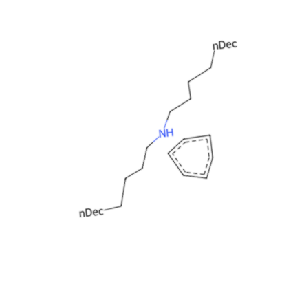 CCCCCCCCCCCCCCNCCCCCCCCCCCCCC.c1ccccc1